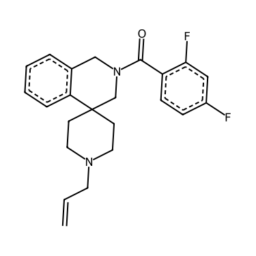 C=CCN1CCC2(CC1)CN(C(=O)c1ccc(F)cc1F)Cc1ccccc12